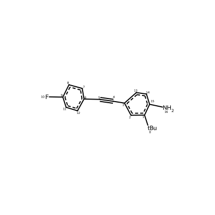 CC(C)(C)c1cc(C#Cc2ccc(F)cc2)ccc1N